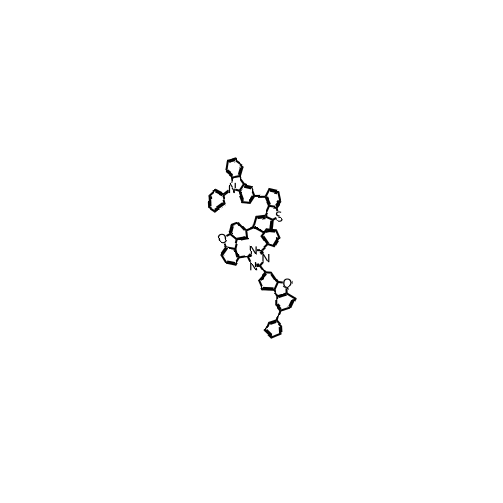 c1ccc(-c2ccc3oc4cc(-c5nc(-c6ccccc6)nc(-c6cccc7oc8ccc(-c9ccc%10sc%11cccc(-c%12ccc%13c(c%12)c%12ccccc%12n%13-c%12ccccc%12)c%11c%10c9)cc8c67)n5)ccc4c3c2)cc1